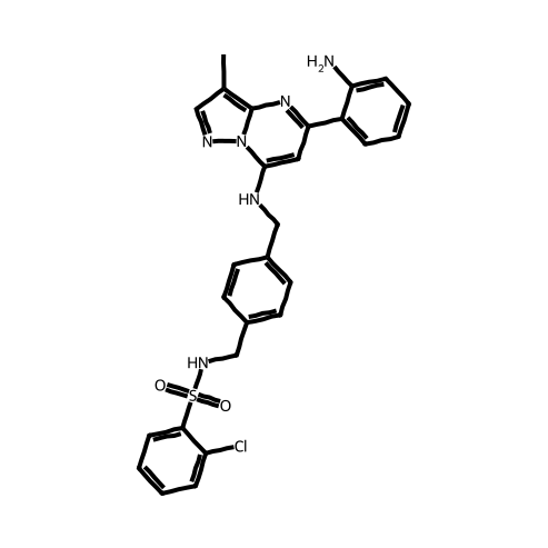 Cc1cnn2c(NCc3ccc(CNS(=O)(=O)c4ccccc4Cl)cc3)cc(-c3ccccc3N)nc12